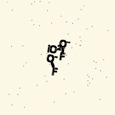 [O+2].[O-]F.[O-]F